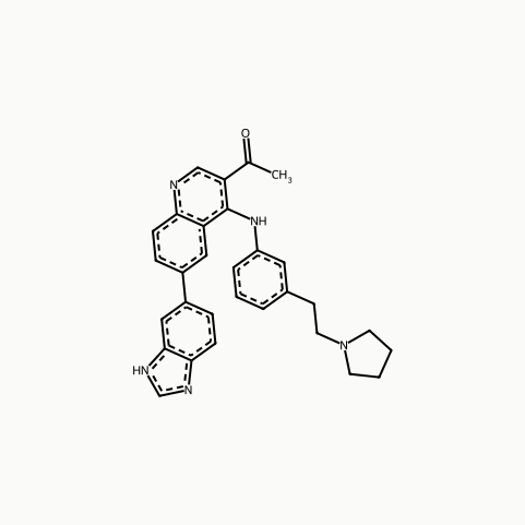 CC(=O)c1cnc2ccc(-c3ccc4nc[nH]c4c3)cc2c1Nc1cccc(CCN2CCCC2)c1